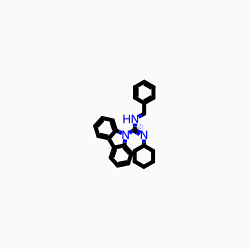 c1ccc(CN/C(=N/C2CCCCC2)n2c3ccccc3c3ccccc32)cc1